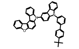 CC(C)(C)c1ccc(-c2cccc(-n3c4ccccc4c4cc(-n5c6ccccc6c6c7c(ccc65)oc5ccccc57)ccc43)c2)cc1